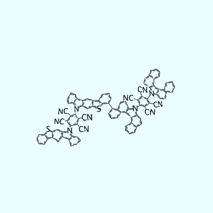 N#Cc1c(C#N)c(-n2c3ccccc3c3cc4c(cc32)sc2c(-c3cccc5c3ccc3c5c5c6ccccc6ccc5n3-c3c(C#N)c(C#N)c(-n5c6ccc7ccccc7c6c6c7ccccc7ccc65)c(C#N)c3C#N)cccc24)c(C#N)c(C#N)c1-n1c2ccccc2c2cc3c(cc21)sc1ccccc13